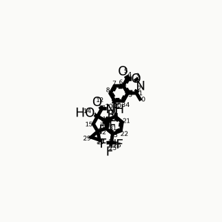 Cc1noc(=O)c2ccc(NC(=O)C(O)(CC3(c4cc(F)ccc4C(F)(F)F)CC3)C(F)(F)F)cc12